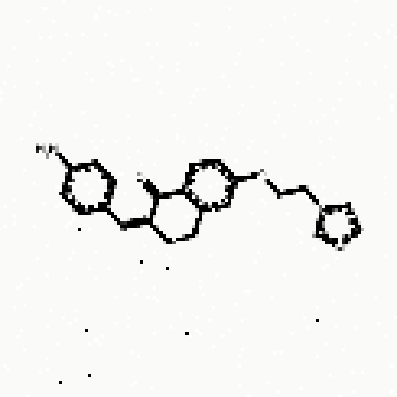 Nc1ccc(/C=C2/CCc3cc(OCCn4ccnc4)ccc3C2=O)cc1